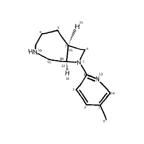 Cc1ccc(N2C[C@@H]3CCNC[C@@H]32)nc1